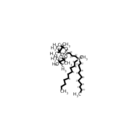 CCCCCCCCCC[N+](C)(CCCCCCCCCC)CCC[Si]1(OC(C)(C)C(C)(C)O)OC(C)(C)C(C)(C)O1